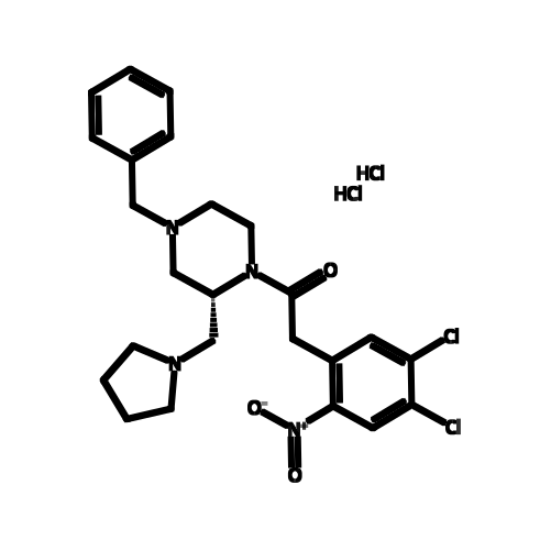 Cl.Cl.O=C(Cc1cc(Cl)c(Cl)cc1[N+](=O)[O-])N1CCN(Cc2ccccc2)C[C@H]1CN1CCCC1